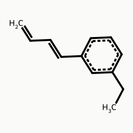 C=CC=Cc1cccc(CC)c1